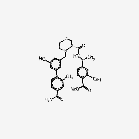 COC(=O)c1ccc([C@H](C)NC(=O)[C@H]2COCCN2Cc2cc(O)cc(-c3ccc(C(N)=O)cc3C)c2)cc1O